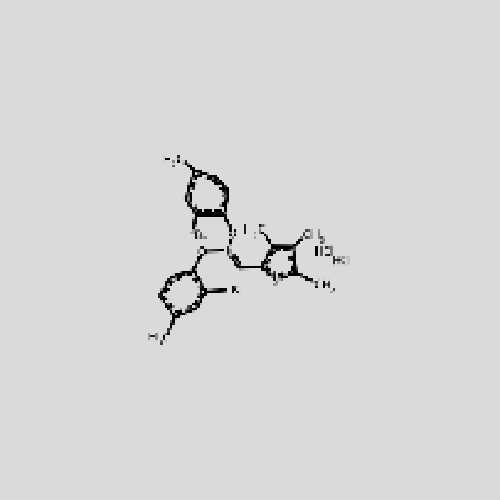 Cc1ccc([O][Ti](=[CH]c2sc(C)c(C)c2C)[O]c2ccc(C)cc2C(C)(C)C)c(C(C)(C)C)c1.Cl.Cl